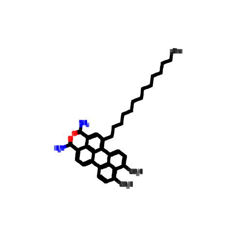 CCCCCCCCCCCCCCCCCCCCCCCc1cc(C(N)=O)c2c(C(N)=O)ccc3c4ccc(C(=O)O)c5c(C(=O)O)ccc(c1c23)c54